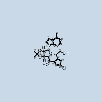 Cc1ncnc2c1ccn2[C@@H]1O[C@H]([C@@H](O)c2sc(Cl)cc2CCO)[C@H]2OC(C)(C)O[C@H]21